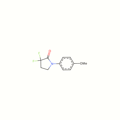 COc1ccc(N2CCC(F)(F)C2=O)cc1